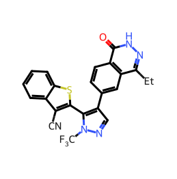 CCc1n[nH]c(=O)c2ccc(-c3cnn(C(F)(F)F)c3-c3sc4ccccc4c3C#N)cc12